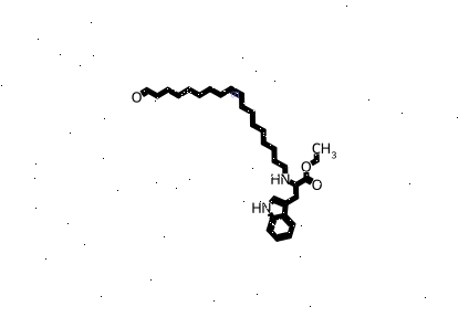 CCOC(=O)C(Cc1c[nH]c2ccccc12)NCCCCCCCC/C=C\CCCCCCCC=O